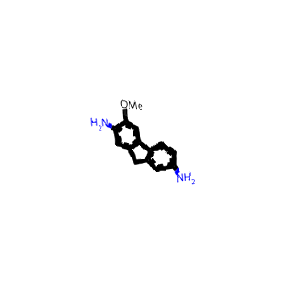 COc1cc2c(cc1N)Cc1cc(N)ccc1-2